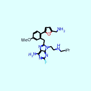 COc1ccc(-c2ccc(CN)o2)c(Cc2nc3c(N)nc(F)nc3n2CCNCC(C)C)c1